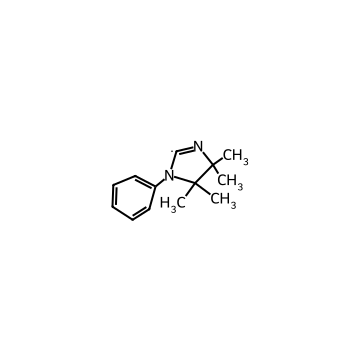 CC1(C)N=[C]N(c2ccccc2)C1(C)C